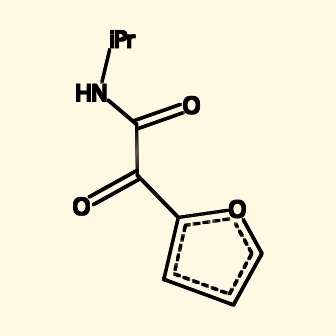 CC(C)NC(=O)C(=O)c1ccco1